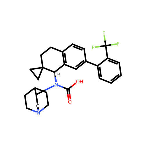 O=C(O)N(C1CN2CCC1CC2)[C@@H]1c2cc(-c3ccccc3C(F)(F)F)ccc2CCC12CC2